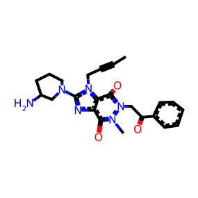 CC#CCn1c(N2CCCC(N)C2)nc2c(=O)n(C)n(CC(=O)c3ccccc3)c(=O)c21